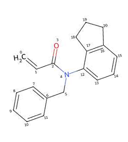 C=CC(=O)N(Cc1ccccc1)c1cccc2c1CCC2